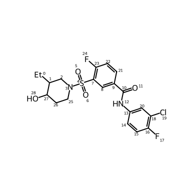 CCC1CN(S(=O)(=O)c2cc(C(=O)Nc3ccc(F)c(Cl)c3)ccc2F)CCC1O